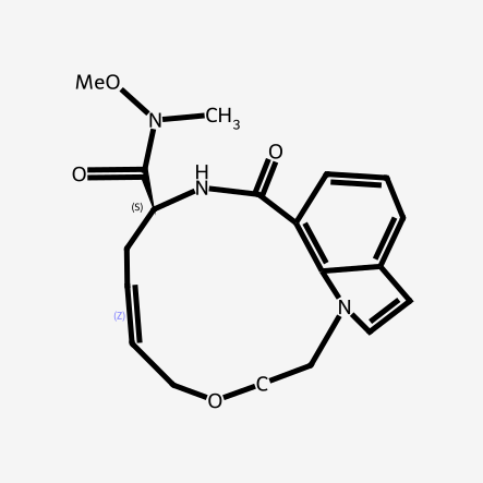 CON(C)C(=O)[C@@H]1C/C=C\COCCn2ccc3cccc(c32)C(=O)N1